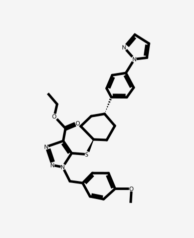 CCOC(=O)c1nnn(Cc2ccc(OC)cc2)c1S[C@H]1CC[C@H](c2ccc(-n3cccn3)cc2)CC1